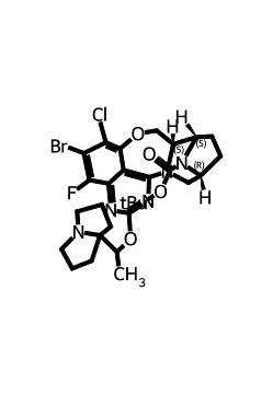 CC(Oc1nc2c3c(c(Cl)c(Br)c(F)c3n1)OC[C@@H]1[C@@H]3CC[C@H](CN21)N3C(=O)OC(C)(C)C)C12CCCN1CCC2